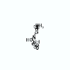 Cc1ccc(C(=O)NC[C@@H]2CCN(CCCOc3ccc(S(N)(=O)=O)cc3)C[C@H]2O)c2c1OCCCO2